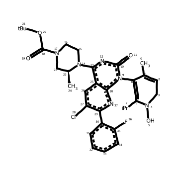 CC1=CCN(O)C(C(C)C)=C1n1c(=O)nc(N2CCN(C(=O)OC(C)(C)C)C[C@@H]2C)c2cc(Cl)c(-c3ccccc3F)nc21